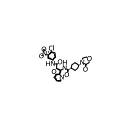 O=C(Nc1ccc(Cl)c([N+](=O)[O-])c1)c1oc2cccnc2c1NC(=O)[C@H]1CC[C@H](N2CCOCC2=O)CC1